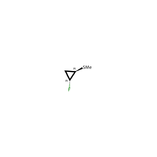 CS[C@@H]1C[C@H]1F